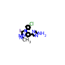 Cc1nnc2n1-c1ccc(-c3cnc(N)cn3)cc1N(c1ccc(Cl)cc1)C[C@H]2I